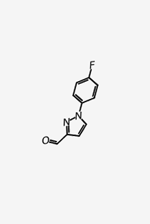 O=Cc1ccn(-c2ccc(F)cc2)n1